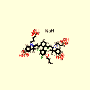 CCCCOc1c(F)cc(F)c(C2=C(C=CC3=[N+](CCCCS(=O)(=O)O)c4ccc(S(=O)(=O)[O-])cc4C3(C)C)CCCC2=CC=C2N(CCCCS(=O)(=O)O)c3ccc(S(=O)(=O)O)cc3C2(C)C)c1F.[NaH]